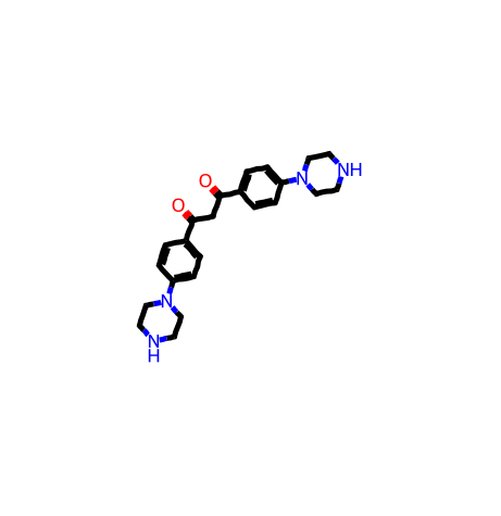 O=C(CC(=O)c1ccc(N2CCNCC2)cc1)c1ccc(N2CCNCC2)cc1